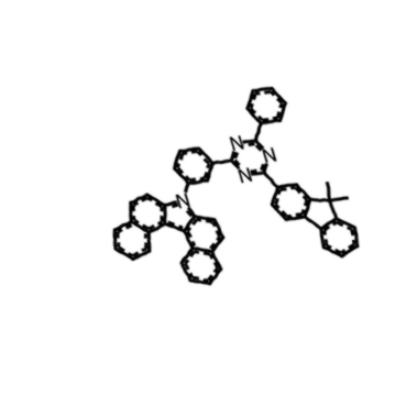 CC1(C)c2ccccc2-c2ccc(-c3nc(-c4ccccc4)nc(-c4cccc(-n5c6ccc7ccccc7c6c6c7ccccc7ccc65)c4)n3)cc21